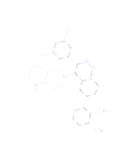 N#Cc1cccc(-c2ccc3nnc(-c4cc(Cl)cc(Cl)c4)c(N4CCC5NCCOC5C4)c3c2)c1O